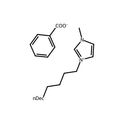 CCCCCCCCCCCCCC[n+]1ccn(C)c1.O=C([O-])c1ccccc1